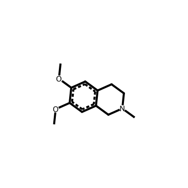 COc1cc2c(cc1OC)CN(C)CC2